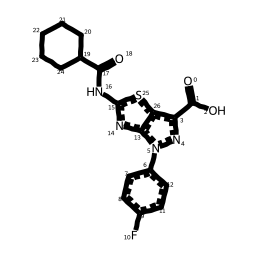 O=C(O)c1nn(-c2ccc(F)cc2)c2nc(NC(=O)C3CCCCC3)sc12